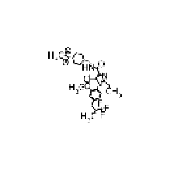 CCc1nc(C(=O)NC[C@H]2CC[C@@H](S(C)(=O)=O)CC2)c(Cl)n1-c1ccc(CC(C)C(F)(F)F)cc1OC